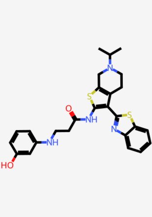 CC(C)N1CCc2c(sc(NC(=O)CCNc3cccc(O)c3)c2-c2nc3ccccc3s2)C1